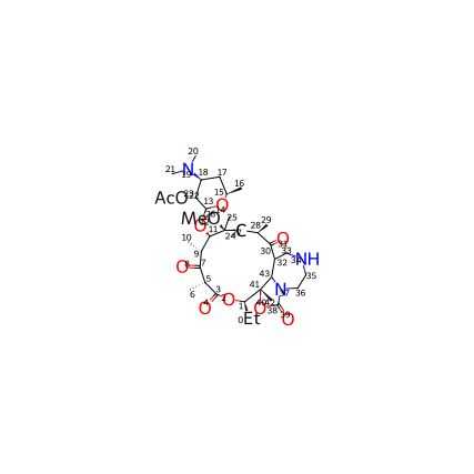 CC[C@H]1OC(=O)[C@H](C)C(=O)[C@H](C)[C@@H](OC2O[C@H](C)C[C@H](N(C)C)[C@H]2OC(C)=O)[C@@](C)(OC)C[C@@H](C)C(=O)C2CNCCN3C(=O)O[C@@]1(C)C23